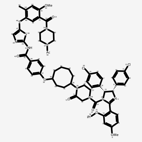 COc1ccc(C2=N[C@@H](c3ccc(Cl)cc3)[C@@H](c3ccc(Cl)cc3)N2C(=O)N2CCN(C3CCCCC(Oc4ccc(C(=O)Nc5ncc(Sc6cc(C(=O)N7CCN(C(C)=O)CC7)c(OC)cc6C)s5)cc4)CC3)C(=O)C2)c(OC(C)C)c1